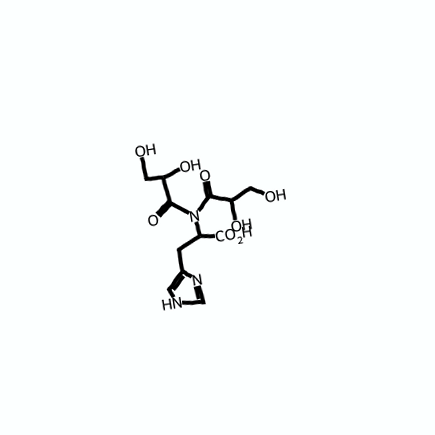 O=C(O)C(Cc1c[nH]cn1)N(C(=O)C(O)CO)C(=O)C(O)CO